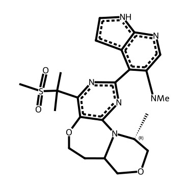 CNc1cnc2[nH]ccc2c1-c1nc2c(c(C(C)(C)S(C)(=O)=O)n1)OCCC1COC[C@@H](C)N21